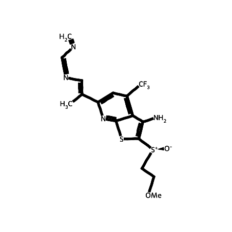 C=N/C=N\C=C(/C)c1cc(C(F)(F)F)c2c(N)c([S@@+]([O-])CCOC)sc2n1